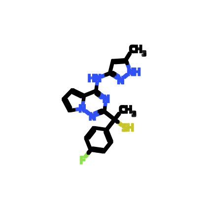 Cc1cc(Nc2nc(C(C)(S)c3ccc(F)cc3)nn3cccc23)n[nH]1